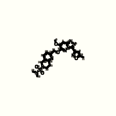 COc1cc2nnc(-c3cc(C)on3)n2nc1OCc1ccc2c(n1)CCN(S(=O)(=O)N(C)C)C2